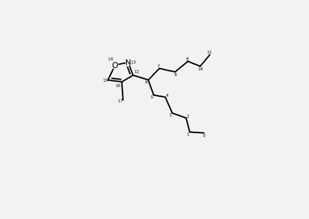 CCCCCCC(CCCCC)c1nocc1C